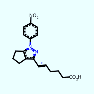 O=C(O)CCC/C=C/c1nn(-c2ccc([N+](=O)[O-])cc2)c2c1CCC2